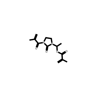 C=C(C)C(=O)OC(C)N1CCN(C(=O)C(=C)C)C1=O